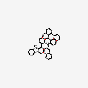 c1ccc(-c2cccc3cccc(-c4ccccc4N(c4ccc5ccccc5c4)c4ccccc4-c4cccc5c4sc4ccccc45)c23)cc1